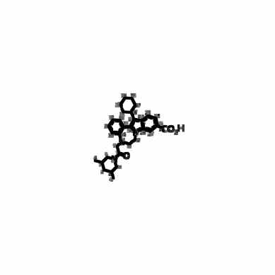 CC1CC(C)CN(C(=O)CN2CCn3c(c(C4CCCCC4)c4ccc(C(=O)O)cc43)-c3ccccc32)C1